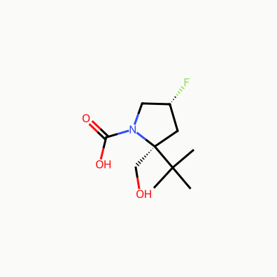 CC(C)(C)[C@]1(CO)C[C@@H](F)CN1C(=O)O